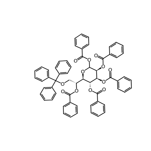 O=C(OC1O[C@H]([C@@H](COC(c2ccccc2)(c2ccccc2)c2ccccc2)OC(=O)c2ccccc2)[C@@H](OC(=O)c2ccccc2)[C@H](OC(=O)c2ccccc2)[C@@H]1OC(=O)c1ccccc1)c1ccccc1